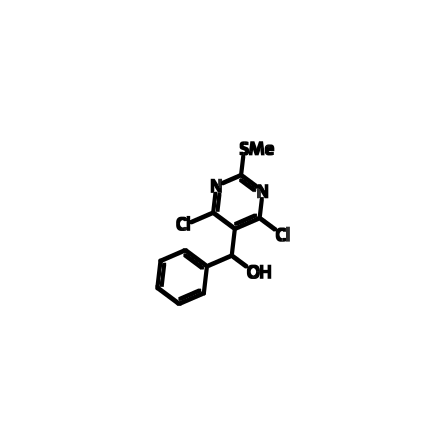 CSc1nc(Cl)c(C(O)c2ccccc2)c(Cl)n1